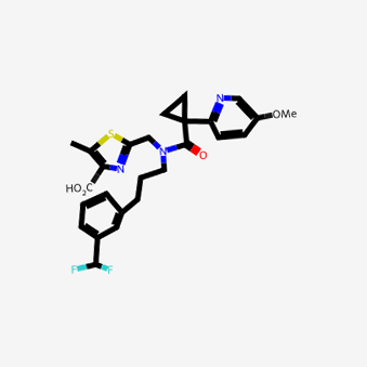 COc1ccc(C2(C(=O)N(CCCc3cccc(C(F)F)c3)Cc3nc(C(=O)O)c(C)s3)CC2)nc1